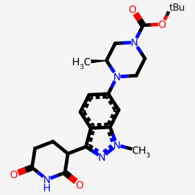 C[C@H]1CN(C(=O)OC(C)(C)C)CCN1c1ccc2c(C3CCC(=O)NC3=O)nn(C)c2c1